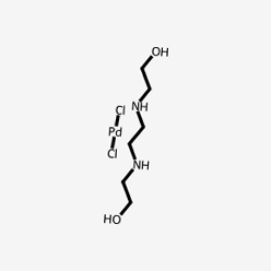 OCCNCCNCCO.[Cl][Pd][Cl]